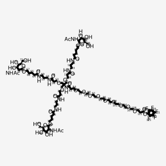 CC(=O)N[C@H]1[C@H](OCCCCC(=O)NCCCNC(=O)CCOCC(COCCC(=O)NCCCNC(=O)CCCCO[C@@H]2O[C@H](CO)[C@H](O)[C@H](O)[C@H]2NC(C)=O)(COCCC(=O)NCCCNC(=O)CCCCO[C@@H]2O[C@H](CO)C(O)[C@H](O)[C@H]2NC(C)=O)NC(=O)CCOCCOCCOCCOCCOCCOCCOCCOCCOCCC(=O)Oc2c(F)c(F)c(F)c(F)c2F)O[C@H](CO)[C@H](O)[C@@H]1O